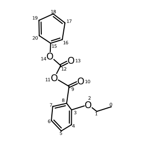 CCOc1ccccc1C(=O)OC(=O)Oc1ccccc1